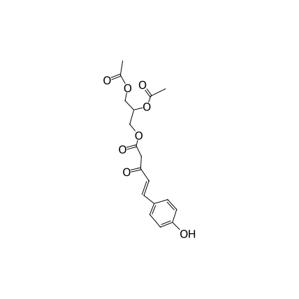 CC(=O)OCC(COC(=O)CC(=O)/C=C/c1ccc(O)cc1)OC(C)=O